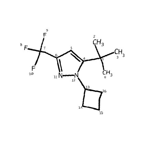 CC(C)(C)c1cc(C(F)(F)F)nn1C1CCC1